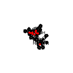 CC(C)(C[C@H]1[C@H](O[C@@H]2[C@H]3OC(=O)N[C@@H]3C[C@H](NC(=O)OCc3ccccc3)[C@H]2O[C@H]2O[C@@H]3COC(c4ccccc4)O[C@H]3[C@H](OC(=S)n3ccnc3)[C@H]2NC(=O)OCc2ccccc2)O[C@H](CO[Si](c2ccccc2)(c2ccccc2)C(C)(C)C)[C@H]1O[C@H]1O[C@H]2CN(C(=O)OCc3ccccc3)C(c3ccccc3)O[C@H]2[C@H](O)[C@H]1NC(=O)OCc1ccccc1)[Si](O)(c1ccccc1)c1ccccc1